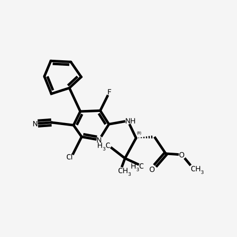 COC(=O)C[C@@H](Nc1nc(Cl)c(C#N)c(-c2ccccc2)c1F)C(C)(C)C